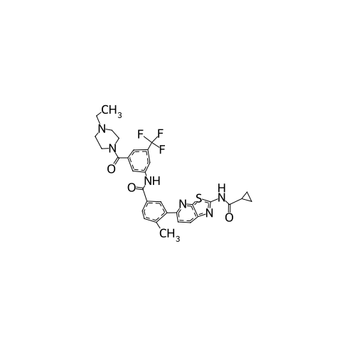 CCN1CCN(C(=O)c2cc(NC(=O)c3ccc(C)c(-c4ccc5nc(NC(=O)C6CC6)sc5n4)c3)cc(C(F)(F)F)c2)CC1